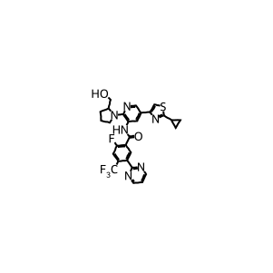 O=C(Nc1cc(-c2csc(C3CC3)n2)cnc1N1CCCC1CO)c1cc(-c2ncccn2)c(C(F)(F)F)cc1F